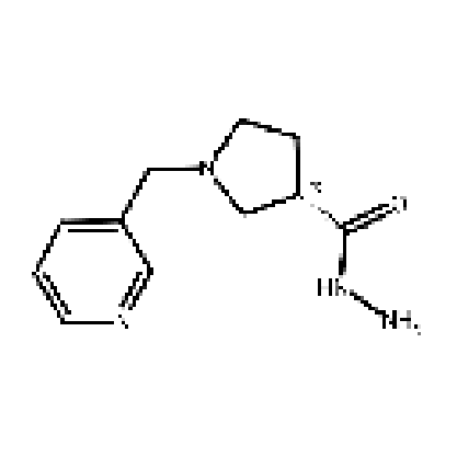 NNC(=O)[C@H]1CCN(Cc2cccnc2)C1